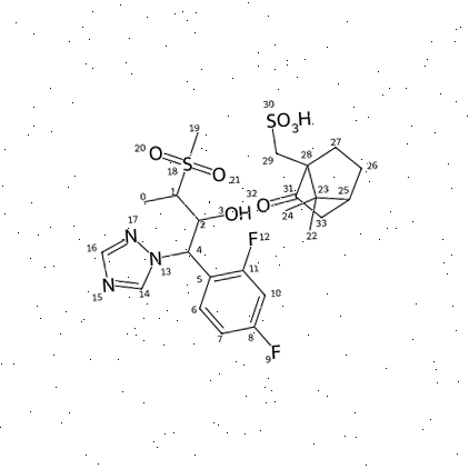 CC(C(O)C(c1ccc(F)cc1F)n1cncn1)S(C)(=O)=O.CC1(C)C2CCC1(CS(=O)(=O)O)C(=O)C2